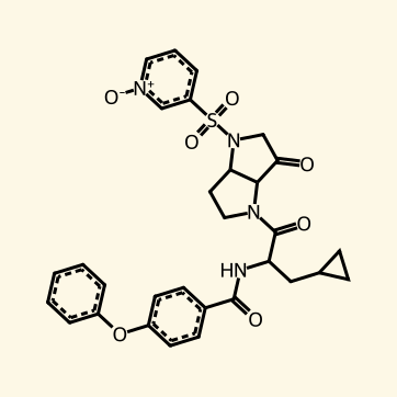 O=C(NC(CC1CC1)C(=O)N1CCC2C1C(=O)CN2S(=O)(=O)c1ccc[n+]([O-])c1)c1ccc(Oc2ccccc2)cc1